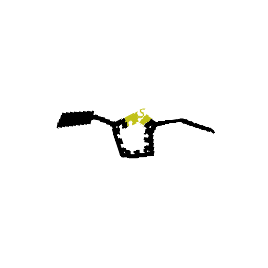 C#Cc1ccc(CC)s1